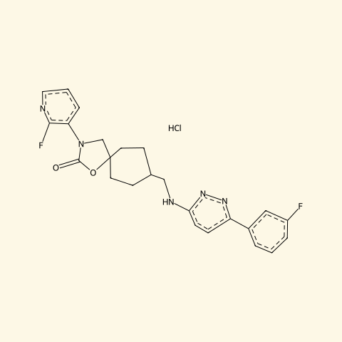 Cl.O=C1OC2(CCC(CNc3ccc(-c4cccc(F)c4)nn3)CC2)CN1c1cccnc1F